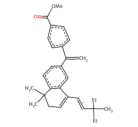 C=C(c1ccc(C(=O)OC)cc1)c1ccc2c(c1)C(/C=C/C(C)(CC)CC)=CCC2(C)C